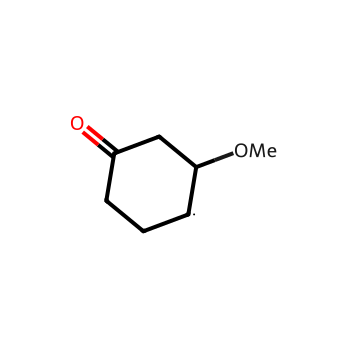 COC1[CH]CCC(=O)C1